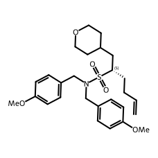 C=CCC[C@@H](CC1CCOCC1)S(=O)(=O)N(Cc1ccc(OC)cc1)Cc1ccc(OC)cc1